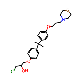 CC(C)(c1ccc(OCCCN2CCSCC2)cc1)c1ccc(OCC(O)CCl)cc1